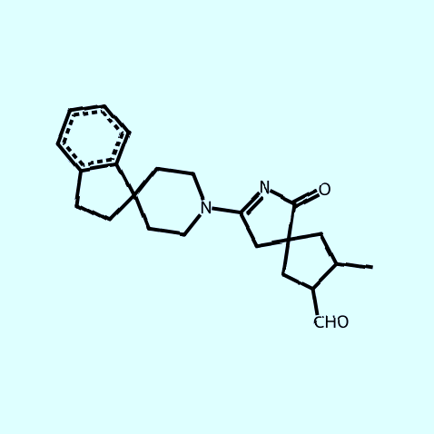 CC1CC2(CC(N3CCC4(CCc5ccccc54)CC3)=NC2=O)CC1C=O